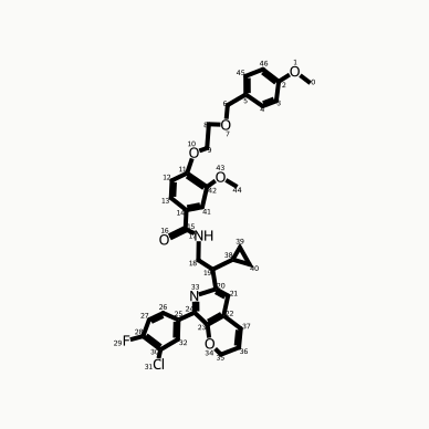 COc1ccc(COCCOc2ccc(C(=O)NCC(c3cc4c(c(-c5ccc(F)c(Cl)c5)n3)OCC=C4)C3CC3)cc2OC)cc1